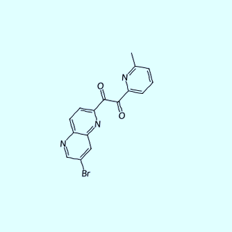 Cc1cccc(C(=O)C(=O)c2ccc3ncc(Br)cc3n2)n1